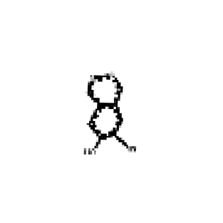 CC(C)c1cc2cnncc2cc1O